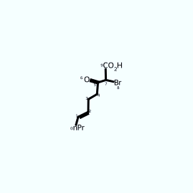 CCCC=CCCC(=O)C(Br)C(=O)O